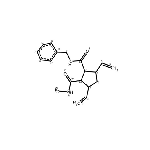 C=CC1CC(C=C)C(C(=O)OCc2ccccc2)C1C(=O)NCC